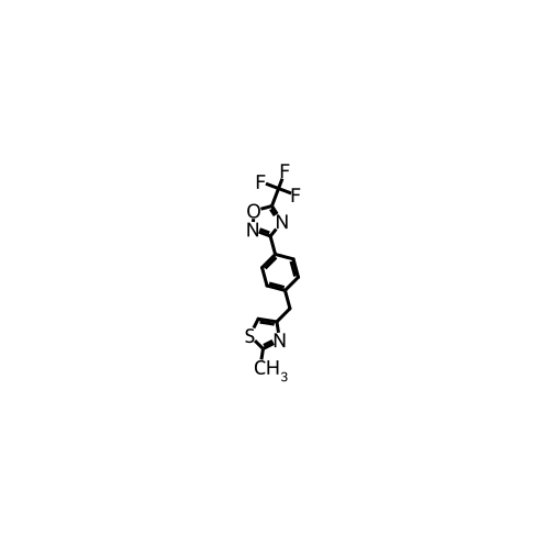 Cc1nc(Cc2ccc(-c3noc(C(F)(F)F)n3)cc2)cs1